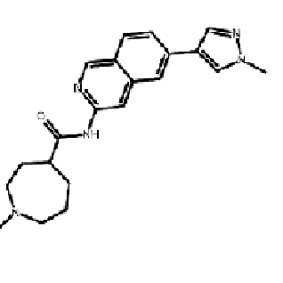 CN1CCCC(C(=O)Nc2cc3cc(-c4cnn(C)c4)ccc3cn2)CC1